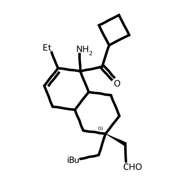 CCC1=CCC2C[C@@](CC=O)(CC(C)CC)CCC2C1(N)C(=O)C1CCC1